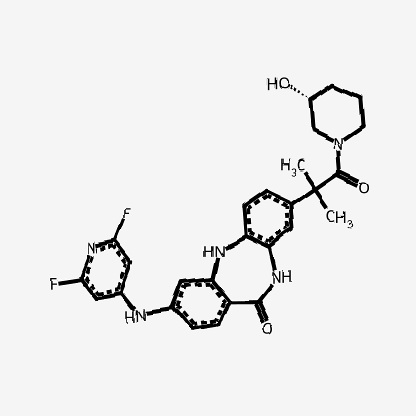 CC(C)(C(=O)N1CCC[C@@H](O)C1)c1ccc2c(c1)NC(=O)c1ccc(Nc3cc(F)nc(F)c3)cc1N2